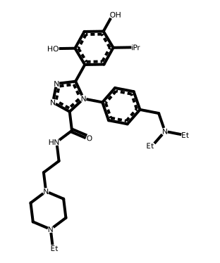 CCN1CCN(CCNC(=O)c2nnc(-c3cc(C(C)C)c(O)cc3O)n2-c2ccc(CN(CC)CC)cc2)CC1